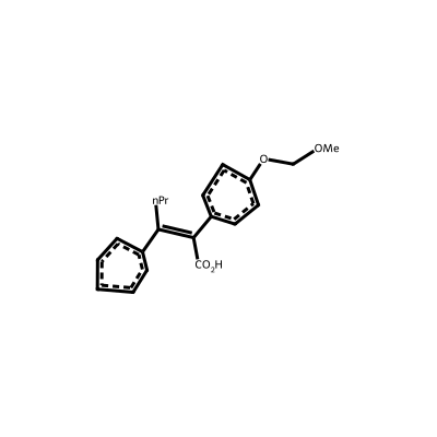 CCC/C(=C(/C(=O)O)c1ccc(OCOC)cc1)c1ccccc1